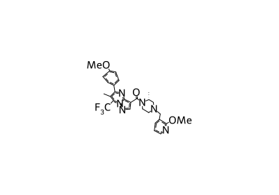 COc1ccc(-c2nc3c(C(=O)N4CCN(Cc5cccnc5OC)C[C@H]4C)cnn3c(C(F)(F)F)c2C)cc1